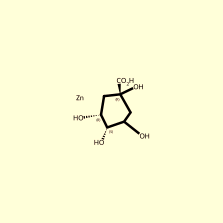 O=C(O)[C@@]1(O)CC(O)[C@H](O)[C@H](O)C1.[Zn]